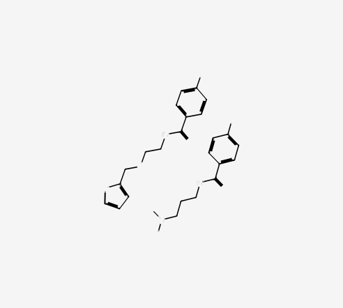 CCN(CC)CCCNC(=O)c1ccc(O)cc1.O=C(NCCSCc1ccco1)c1ccc(O)cc1